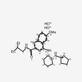 CCC(CC)CNC(=O)c1nc(N[C@H]2CCCC[C@H]2NC2=NCCC2)c2cc(OC)ccc2n1.Cl.Cl